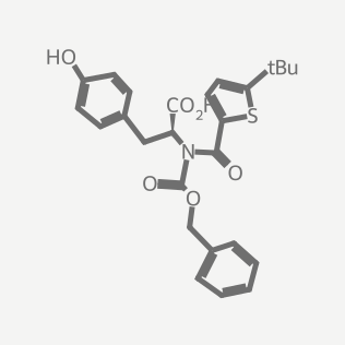 CC(C)(C)c1ccc(C(=O)N(C(=O)OCc2ccccc2)[C@@H](Cc2ccc(O)cc2)C(=O)O)s1